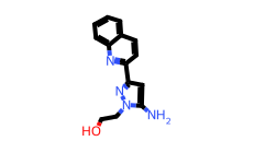 Nc1cc(-c2ccc3ccccc3n2)nn1CCO